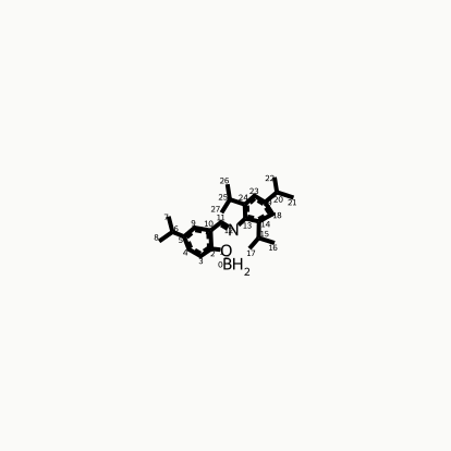 BOc1ccc(C(C)C)cc1/C=N/c1c(C(C)C)cc(C(C)C)cc1C(C)C